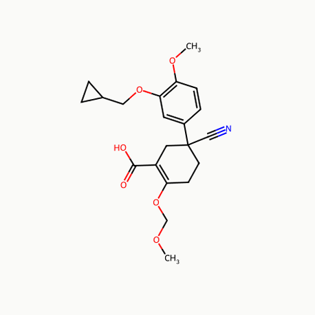 COCOC1=C(C(=O)O)CC(C#N)(c2ccc(OC)c(OCC3CC3)c2)CC1